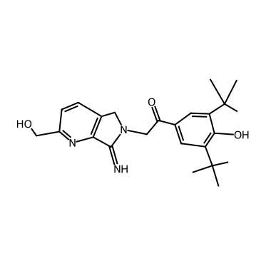 CC(C)(C)c1cc(C(=O)CN2Cc3ccc(CO)nc3C2=N)cc(C(C)(C)C)c1O